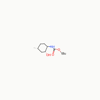 C[C@@H]1CC[C@@H](NC(=O)OC(C)(C)C)[C@H](O)C1